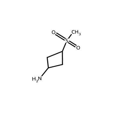 CS(=O)(=O)C1CC(N)C1